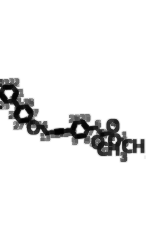 CCOC(=O)[C@H](Cc1ccc(C#CCCOc2ccc(-c3ccccc3)cc2)cc1)OC